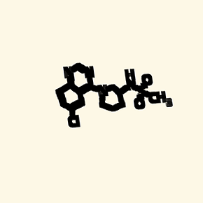 CS(=O)(=O)NC1CCCN(c2ncnc3ccc(Cl)cc23)C1